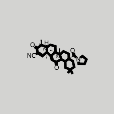 C[C@@H]1C(=O)C(C#N)=C[C@]2(C)C3=CC(=O)C4C5CC(C)(C)CC[C@]5(C(=O)N5CCCC5)CC[C@@]4(C)[C@]3(C)CC[C@@H]12